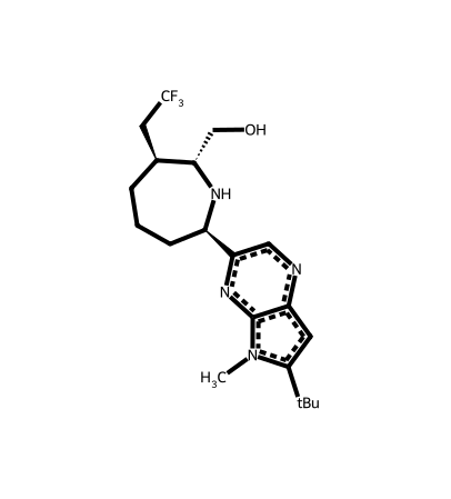 Cn1c(C(C)(C)C)cc2ncc([C@H]3CCC[C@@H](CC(F)(F)F)[C@H](CO)N3)nc21